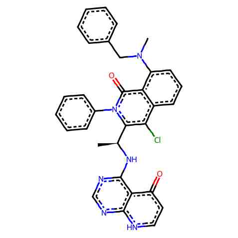 C[C@H](Nc1ncnc2[nH]ccc(=O)c12)c1c(Cl)c2cccc(N(C)Cc3ccccc3)c2c(=O)n1-c1ccccc1